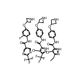 CCc1n[nH]c(C(=O)Nc2ccc(OC3CNC3)cc2)c1Cl.O=C(Nc1ccc(OC2CNC2)cc1)c1[nH]nc(C(F)(F)F)c1Cl.O=C(Nc1ccc(OC2CNC2)cc1F)c1cnc(C(F)(F)F)nc1